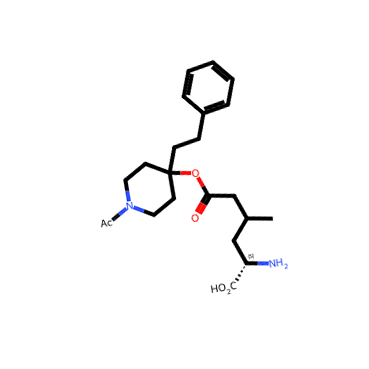 CC(=O)N1CCC(CCc2ccccc2)(OC(=O)CC(C)C[C@H](N)C(=O)O)CC1